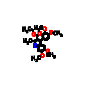 CCOC(=O)c1c(C)nc2cc(OC)c(OC)cc2c1-c1ccc(OC)c(OC)c1